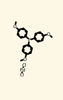 COc1ccc(P(c2ccc(OC)cc2)c2ccc(OC)cc2)cc1.[Cl][Pd][Cl]